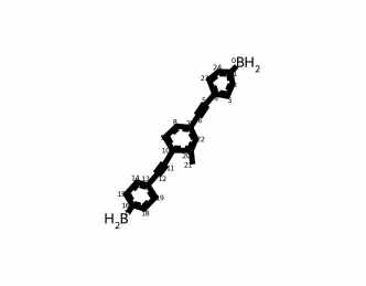 Bc1ccc(C#Cc2ccc(C#Cc3ccc(B)cc3)c(C)c2)cc1